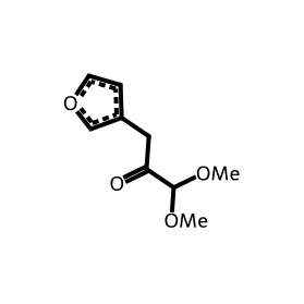 COC(OC)C(=O)Cc1ccoc1